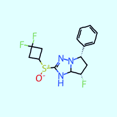 [O-][S+](C1=NN2C(N1)[C@@H](F)C[C@H]2c1ccccc1)C1CC(F)(F)C1